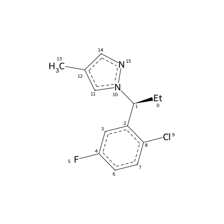 CC[C@@H](c1cc(F)ccc1Cl)n1cc(C)cn1